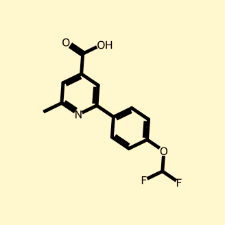 Cc1cc(C(=O)O)cc(-c2ccc(OC(F)F)cc2)n1